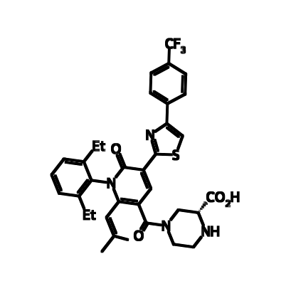 CCc1cccc(CC)c1-n1c(C=C(C)C)c(C(=O)N2CCN[C@@H](C(=O)O)C2)cc(-c2nc(-c3ccc(C(F)(F)F)cc3)cs2)c1=O